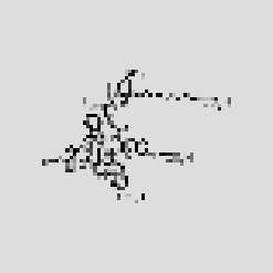 CC(=O)[C@H](CC(C)C)NC(=O)[C@H](Cc1c[nH]c2ccccc12)NC(=O)[C@H](CC(=O)O)NC(O)[C@H](Cc1ccc(C(=O)O)cc1)NC(=O)[C@H](Cc1ccc(OCC(=O)O)cc1)NC(=O)CSC[C@H](C)C(=O)N[C@@H](CCN)C(=O)NCCCCCCCCCCC(=O)O